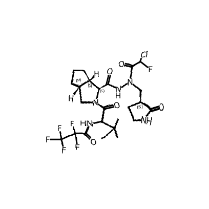 CC(C)(C)C(NC(=O)C(F)(F)C(F)(F)F)C(=O)N1C[C@@H]2CCC[C@@H]2[C@H]1C(=O)NN(C[C@@H]1CCNC1=O)C(=O)C(F)Cl